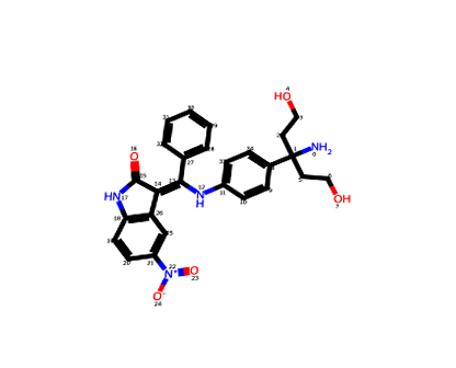 NC(CCO)(CCO)c1ccc(NC(=C2C(=O)Nc3ccc([N+](=O)[O-])cc32)c2ccccc2)cc1